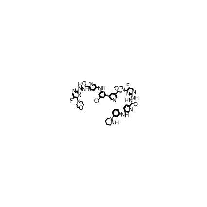 O=C(NNc1ncc(F)c(N2CCOCC2)n1)c1ccc(Nc2cc(Cl)cc(-c3cncc(C4CN(c5nc(NNC(=O)c6ccc(Nc7cccc(N8CCCCN8)c7)cn6)ncc5F)CCO4)c3)c2)cn1